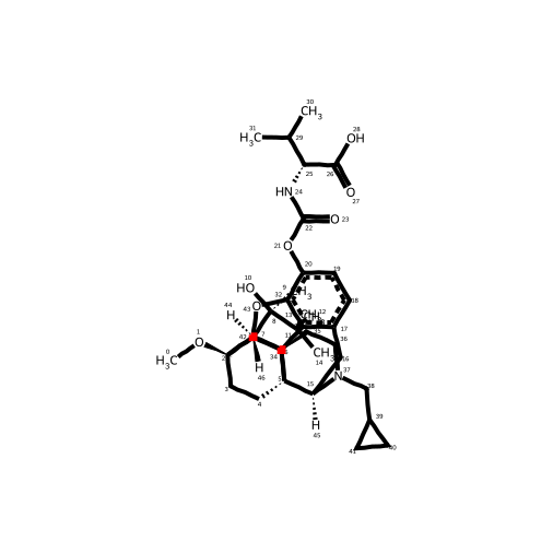 CO[C@]12CC[C@@]3(C[C@@H]1[C@@](C)(O)C(C)(C)C)[C@H]1Cc4ccc(OC(=O)N[C@@H](C(=O)O)C(C)C)c5c4[C@@]3(CCN1CC1CC1)[C@H]2O5